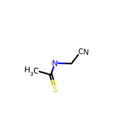 CC(=S)[N]CC#N